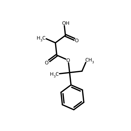 CCC(C)(OC(=O)C(C)C(=O)O)c1ccccc1